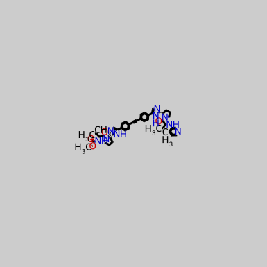 COC(=O)N[C@H](C(=O)N1CCC[C@H]1c1ncc(-c2ccc(C#Cc3ccc(-c4cnc([C@@H]5CCCN5C(=O)[C@@H](Nc5cccnc5)C(C)C)[nH]4)cc3)cc2)[nH]1)C(C)C